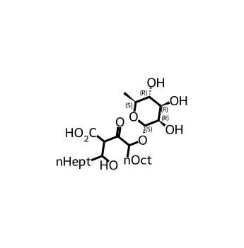 CCCCCCCCC(O[C@@H]1O[C@@H](C)[C@H](O)[C@@H](O)[C@H]1O)C(=O)C(C(=O)O)C(O)CCCCCCC